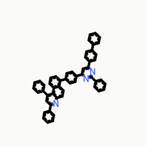 c1ccc(-c2ccc(-c3cc(-c4ccc(-c5cccc6c5ccc5nc(-c7ccccc7)cc(-c7ccccc7)c56)cc4)nc(-c4ccccc4)n3)cc2)cc1